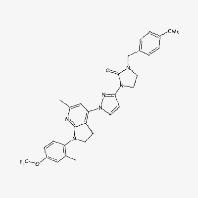 COc1ccc(CN2CCN(c3ccn(-c4cc(C)nc5c4CCN5c4ccc(OC(F)(F)F)cc4C)n3)C2=O)cc1